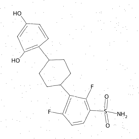 NS(=O)(=O)c1ccc(F)c(C2CCC(c3ccc(O)cc3O)CC2)c1F